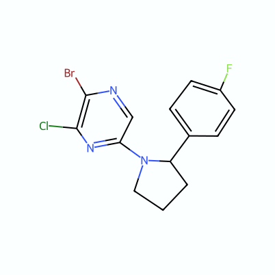 Fc1ccc(C2CCCN2c2cnc(Br)c(Cl)n2)cc1